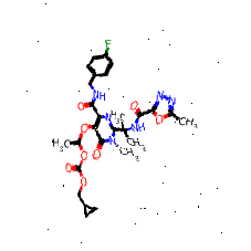 Cc1nnc(C(=O)NC(C)(C)c2nc(C(=O)NCc3ccc(F)cc3)c(OC(C)OC(=O)OCC3CC3)c(=O)n2C)o1